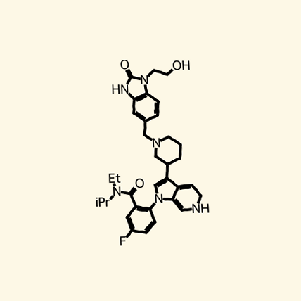 CCN(C(=O)c1cc(F)ccc1-n1cc(C2CCCN(Cc3ccc4c(c3)[nH]c(=O)n4CCO)C2)c2c1=CNCC=2)C(C)C